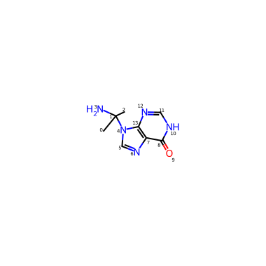 CC(C)(N)n1cnc2c(=O)[nH]cnc21